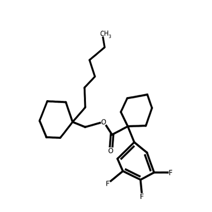 CCCCCCC1(COC(=O)C2(c3cc(F)c(F)c(F)c3)CCCCC2)CCCCC1